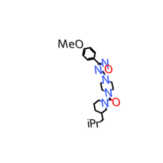 COc1ccc(-c2noc(N3CCN(C(=O)N4CCCC(CC(C)C)C4)CC3)n2)cc1